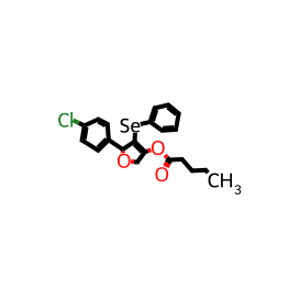 CCCCC(=O)OC1=C([Se]c2ccccc2)C(c2ccc(Cl)cc2)OC1